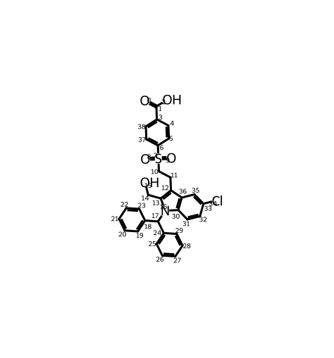 O=C(O)c1ccc(S(=O)(=O)CCc2c(CO)n(C(c3ccccc3)c3ccccc3)c3ccc(Cl)cc23)cc1